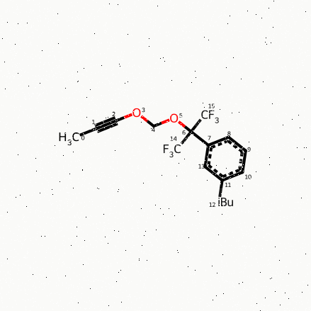 CC#COCOC(c1cccc(C(C)CC)c1)(C(F)(F)F)C(F)(F)F